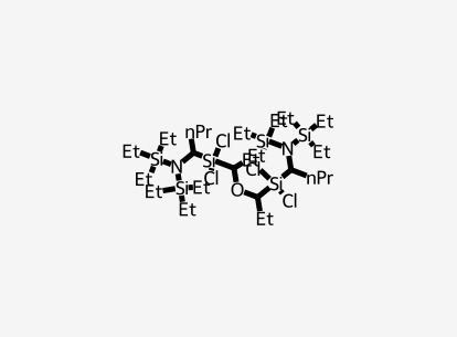 CCCC(N([Si](CC)(CC)CC)[Si](CC)(CC)CC)[Si](Cl)(Cl)C(CC)OC(CC)[Si](Cl)(Cl)C(CCC)N([Si](CC)(CC)CC)[Si](CC)(CC)CC